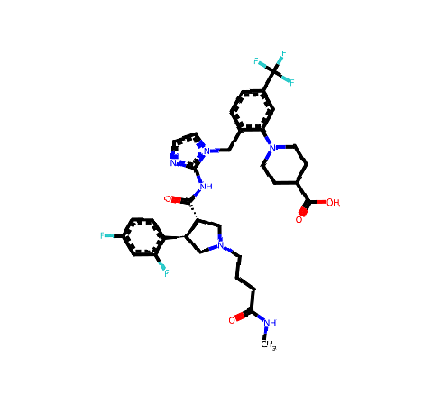 CNC(=O)CCCN1C[C@@H](C(=O)Nc2nccn2Cc2ccc(C(F)(F)F)cc2N2CCC(C(=O)O)CC2)[C@H](c2ccc(F)cc2F)C1